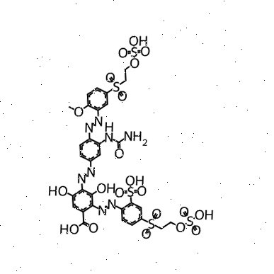 COc1ccc(S(=O)(=O)CCOS(=O)(=O)O)cc1N=Nc1ccc(N=Nc2c(O)cc(C(=O)O)c(N=Nc3ccc(S(=O)(=O)CCOS(=O)(=O)O)cc3S(=O)(=O)O)c2O)cc1NC(N)=O